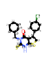 O=c1c2c(-c3ccc(Cl)cc3)csc2[nH]c(=S)n1Cc1ccccc1